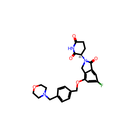 O=C1CC[C@@H](N2Cc3c(OCc4ccc(CN5CCOCC5)cc4)cc(F)cc3C2=O)C(=O)N1